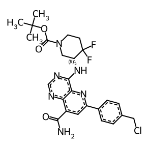 CC(C)(C)OC(=O)N1CCC(F)(F)[C@H](Nc2ncnc3c(C(N)=O)cc(-c4ccc(CCl)cc4)nc23)C1